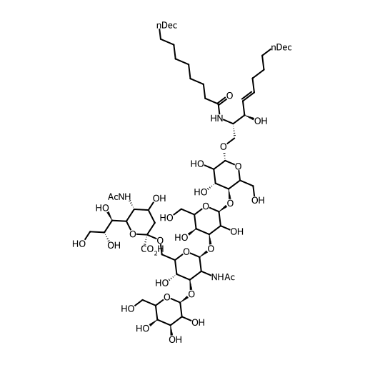 CCCCCCCCCCCCC/C=C/[C@@H](O)[C@H](CO[C@@H]1OC(CO)[C@@H](O[C@@H]2OC(CO)[C@H](O)[C@H](O[C@@H]3OC(CO[C@]4(C(=O)O)CC(O)[C@@H](NC(C)=O)C([C@H](O)[C@H](O)CO)O4)[C@@H](O)[C@H](O[C@@H]4OC(CO)[C@H](O)[C@H](O)C4O)C3NC(C)=O)C2O)[C@H](O)C1O)NC(=O)CCCCCCCCCCCCCCCCC